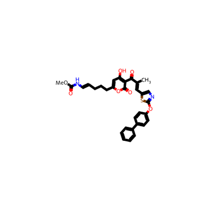 COC(=O)N/C=C/CCCc1cc(O)c(C(=O)C(C)=Cc2cnc(Oc3ccc(-c4ccccc4)cc3)s2)c(=O)o1